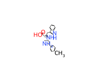 Cc1ccc(CCC(CN)N[C@H](CC(=O)O)Cc2c[nH]c3ccccc23)cc1